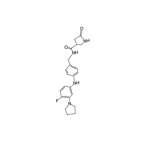 O=C1CC(C(=O)NCc2ccc(Nc3ccc(F)c(N4CCCC4)c3)cc2)CN1